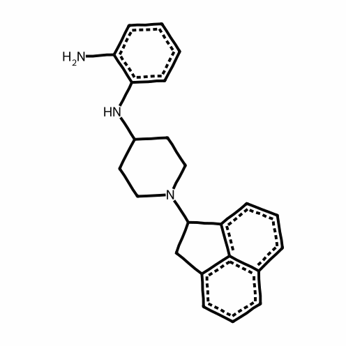 Nc1ccccc1NC1CCN(C2Cc3cccc4cccc2c34)CC1